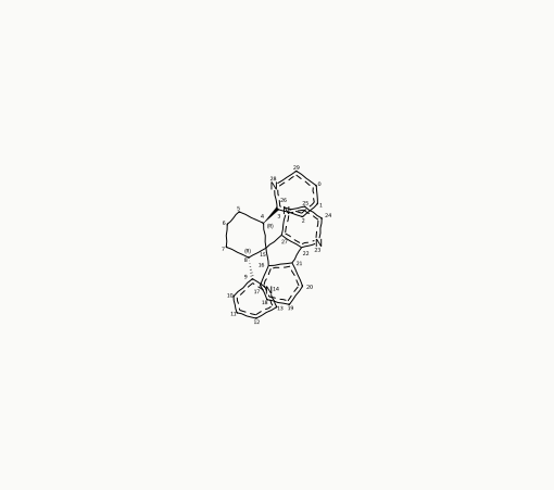 c1ccc([C@@H]2CCC[C@@H](c3ccccn3)C23c2ccccc2-c2nccnc23)nc1